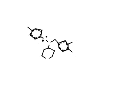 Cc1ccc(S(=O)(=O)N(Cc2ccc(Cl)c(Cl)c2)C2CCOCC2)cc1